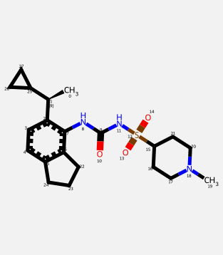 C[C@@H](c1ccc2c(c1NC(=O)NS(=O)(=O)C1CCN(C)CC1)CCC2)C1CC1